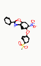 CS(=O)(=O)c1ccc(Oc2cc3nc(-c4ccccc4)oc3cc2[N+](=O)[O-])cc1